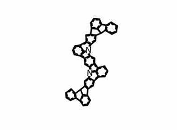 c1ccc2c(c1)-c1cccc3c1C2c1cc2c(cc1-3)c1cccc3c4cc5c(cc4n2c13)c1cccc2c3cc4c(cc3n5c21)C1c2ccccc2-c2cccc-4c21